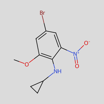 COc1cc(Br)cc([N+](=O)[O-])c1NC1CC1